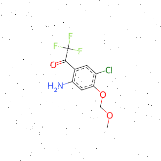 COCOc1cc(N)c(C(=O)C(F)(F)F)cc1Cl